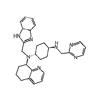 C1=CC2N=C(CN(C3CCCc4cccnc43)[C@H]3CC[C@H](NCc4ncccn4)CC3)NC2C=C1